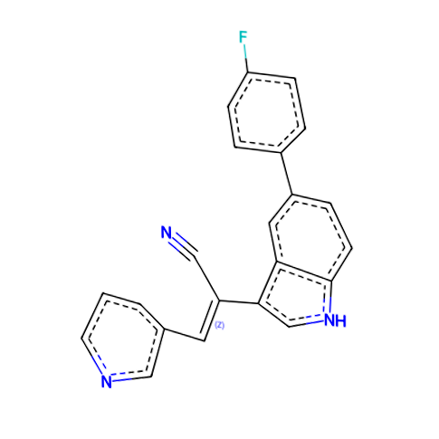 N#C/C(=C\c1cccnc1)c1c[nH]c2ccc(-c3ccc(F)cc3)cc12